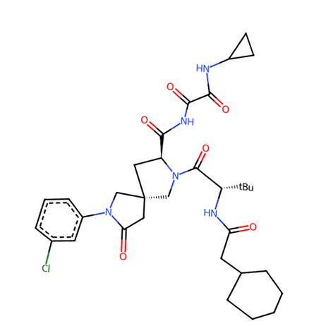 CC(C)(C)[C@H](NC(=O)CC1CCCCC1)C(=O)N1C[C@@]2(CC(=O)N(c3cccc(Cl)c3)C2)C[C@H]1C(=O)NC(=O)C(=O)NC1CC1